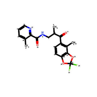 Cc1c(C(=O)C(C)CNC(=O)c2ncccc2C(F)(F)F)ccc2c1OC(F)(F)O2